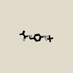 C=C(C)C(=O)NCc1ccc(NOC(C)(C)C)cc1